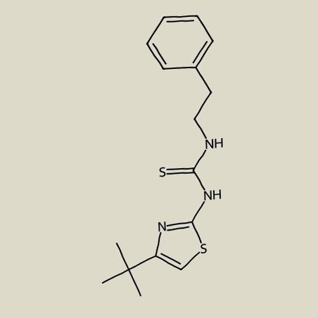 CC(C)(C)c1csc(NC(=S)NCCc2ccccc2)n1